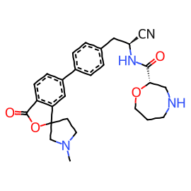 CN1CCC2(C1)OC(=O)c1ccc(-c3ccc(C[C@@H](C#N)NC(=O)[C@@H]4CNCCCO4)cc3)cc12